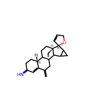 C=C1CC2C(CC[C@@]3(CC)C2C2CC2[C@@]32C=CCO2)[C@H]2CCC(=N)C=C12